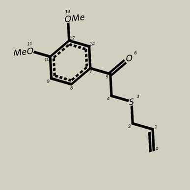 C=CCSCC(=O)c1ccc(OC)c(OC)c1